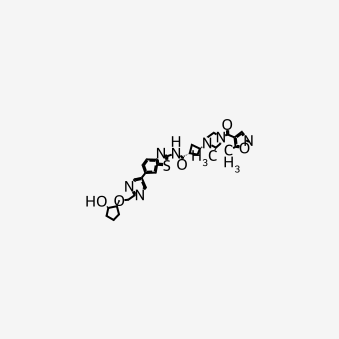 Cc1oncc1C(=O)N1CCN([C@H]2C[C@@H](C(=O)Nc3nc4ccc(-c5cnc(CO[C@H]6CCC[C@@H]6O)nc5)cc4s3)C2)[C@@H](C)C1